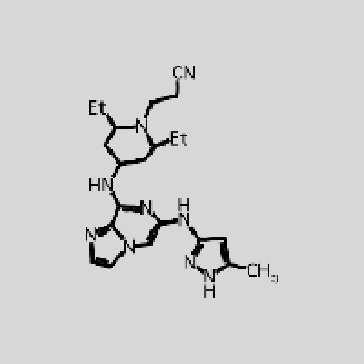 CCC1CC(Nc2nc(Nc3cc(C)[nH]n3)cn3ccnc23)CC(CC)N1CCC#N